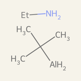 CCN.C[C](C)(C)[AlH2]